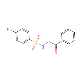 O=C(CNS(=O)(=O)c1ccc(Br)cc1)c1ccccc1